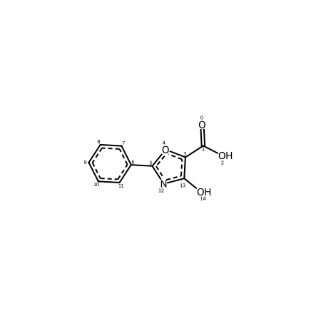 O=C(O)c1oc(-c2ccccc2)nc1O